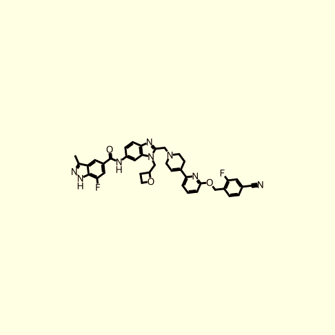 Cc1n[nH]c2c(F)cc(C(=O)Nc3ccc4nc(CN5CC=C(c6cccc(OCc7ccc(C#N)cc7F)n6)CC5)n(CC5CCO5)c4c3)cc12